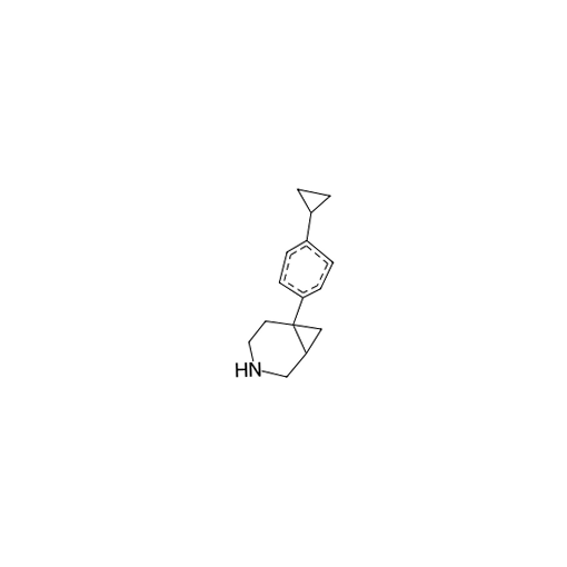 c1cc(C23CCNCC2C3)ccc1C1CC1